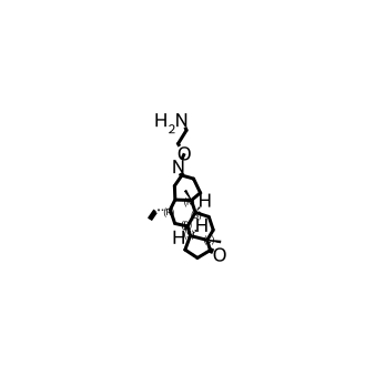 C=C[C@H]1C[C@@H]2[C@H](CC[C@]3(C)C(=O)CC[C@@H]23)[C@@]2(C)CCC(=NOCCN)CC12